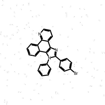 Brc1ccc(-c2nc3c4cccnc4c4ccccc4c3n2-c2ccccc2)cc1